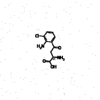 Nc1c(Cl)cccc1C(=O)C[C@@H](N)C(=O)O